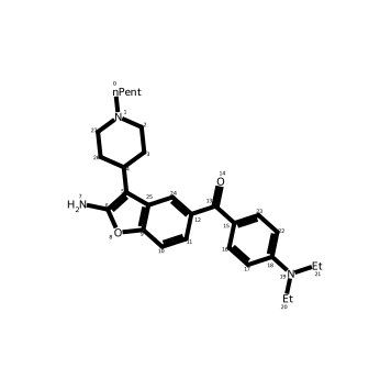 CCCCCN1CCC(c2c(N)oc3ccc(C(=O)c4ccc(N(CC)CC)cc4)cc23)CC1